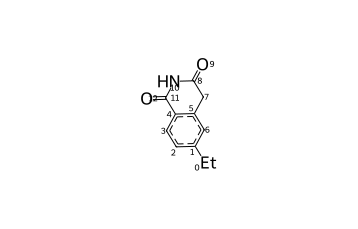 CCc1ccc2c(c1)CC(=O)NC2=O